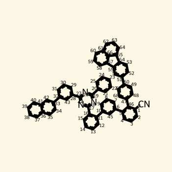 N#Cc1cccc(-c2cccc(-c3ccccc3-c3nc(-c4ccccc4)nc(-c4cccc(-c5ccc6ccccc6c5)c4)n3)c2)c1-c1ccc(-c2ccc3c(c2)-c2cccc4cccc-3c24)cc1